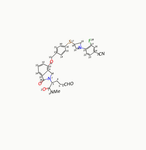 CNC(=O)C(CCC=O)N1Cc2c(OCc3ccc(SC4CN(c5ccc(C#N)cc5F)C4)cc3)cccc2C1=O